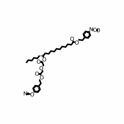 CCCCCC[C@H](CCCCCCCCCCC(=O)OCCc1ccc(N=C=O)cc1)OC(=O)COCC(=O)OCCc1ccc(OC#N)cc1